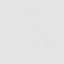 CCCCCCCCCCCC[S+](C)(=O)Cc1ccccc1.COS(=O)(=O)[O-]